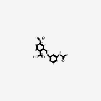 CC(=O)Nc1cccc(OCc2cc([N+](=O)[O-])ccc2C(=O)O)c1